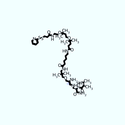 CN[C@@H](C)C(=O)N[C@H](CN/C=C(\N)COCC(C)(C)CNC(=O)CCCCCNC(=O)CCC(C)(C)OCCC(C)(C)OCCNC(=O)CCSSc1ccccn1)C(N)=O